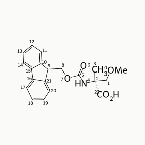 COC[C@](C)(NC(=O)OCC1c2ccccc2-c2ccccc21)C(=O)O